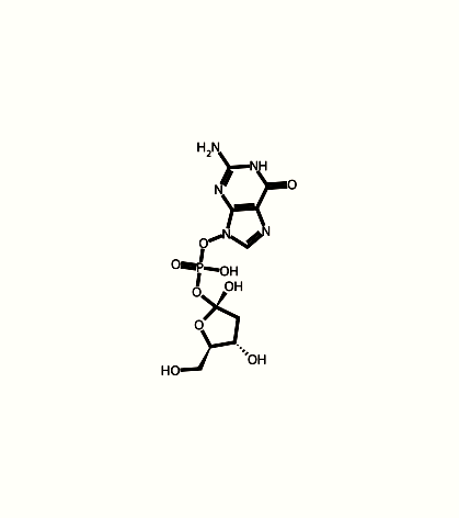 Nc1nc2c(ncn2OP(=O)(O)O[C@]2(O)C[C@H](O)[C@@H](CO)O2)c(=O)[nH]1